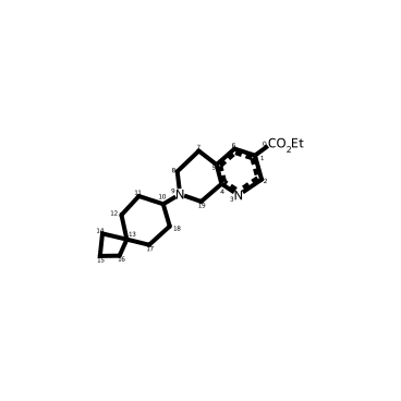 CCOC(=O)c1cnc2c(c1)CCN(C1CCC3(CCC3)CC1)C2